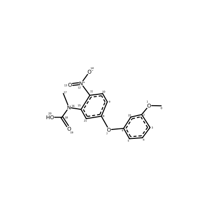 COc1cccc(Oc2ccc([N+](=O)[O-])c(N(C)C(=O)O)c2)c1